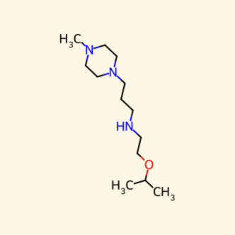 CC(C)OCCNCCCN1CCN(C)CC1